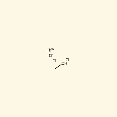 CO.[Cl-].[Cl-].[Cl-].[Tb+3]